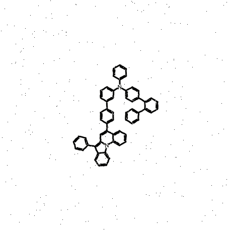 c1ccc(-c2ccccc2-c2ccc(N(c3ccccc3)c3cccc(-c4ccc(-c5cc6c(-c7ccccc7)c7ccccc7n6c6ccccc56)cc4)c3)cc2)cc1